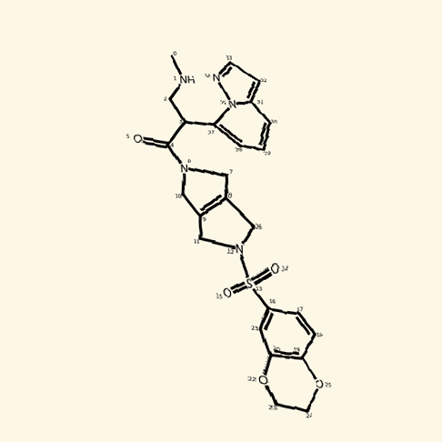 CNCC(C(=O)N1CC2=C(C1)CN(S(=O)(=O)c1ccc3c(c1)OCCO3)C2)c1cccc2ccnn12